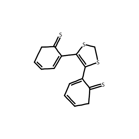 S=C1CC=CC=C1C1=C(C2=CC=CCC2=S)SCS1